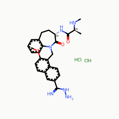 CN[C@@H](C)C(=O)N[C@H]1CCc2ccccc2N(Cc2c(OC)ccc3cc(C(=N)NN)ccc23)C1=O.Cl.Cl